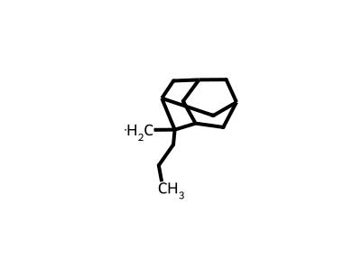 [CH2]C1(CCC)C2CC3CC(C2)CC1C3